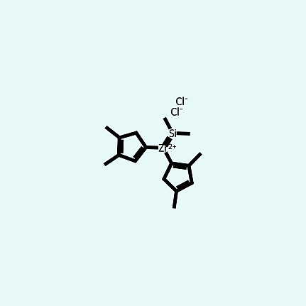 CC1=CC(C)=[C]([Zr+2]([C]2=CC(C)=C(C)C2)=[Si](C)C)C1.[Cl-].[Cl-]